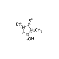 CCN1CC(O)N(C)C1=S